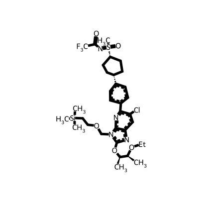 CCO[C@@H](C)[C@@H](C)Oc1nc2cc(Cl)c(-c3ccc([C@H]4CC[C@@H](S(C)(=O)=NC(=O)C(F)(F)F)CC4)cc3)nc2n1COCC[Si](C)(C)C